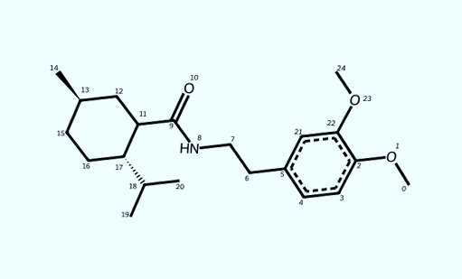 COc1ccc(CCNC(=O)C2C[C@H](C)CC[C@H]2C(C)C)cc1OC